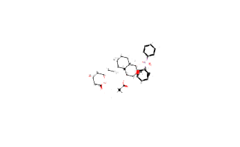 CCC(C)(C)C(=O)O[C@H]1C[C@@H](C)[C@@H](OP(=O)(c2ccccc2)c2ccccc2)[C@@H]2CC[C@H](C)[C@H](CC[C@@H]3C[C@@H](O)CC(=O)O3)[C@H]21